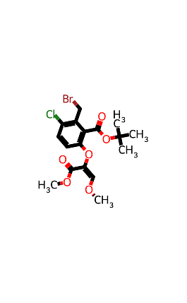 COC=C(Oc1ccc(Cl)c(CBr)c1C(=O)OC(C)(C)C)C(=O)OC